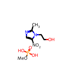 COP(=O)(O)O.Cc1ncc([N+](=O)[O-])n1CCO